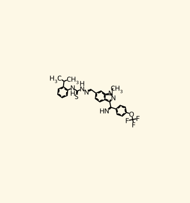 CC(C)c1ccccc1NC(=S)N/N=C/c1ccc2c(C(=N)c3ccc(OC(F)(F)F)cc3)nn(C)c2c1